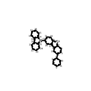 c1ccc(-c2ccc3sc4ccc(-n5c6ccccc6c6ccccc65)cc4c3c2)cc1